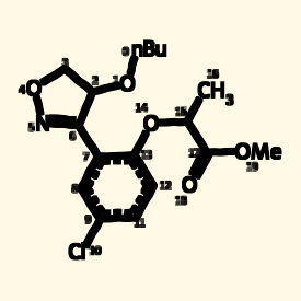 CCCCOC1CON=C1c1cc(Cl)ccc1OC(C)C(=O)OC